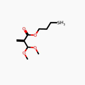 C=C(C(=O)OCCC[SiH3])C(OC)OC